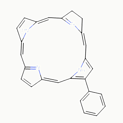 C1=Cc2cc3[nH]c(cc4nc(cc5ccc(cc1n2)[nH]5)CC4)cc3-c1ccccc1